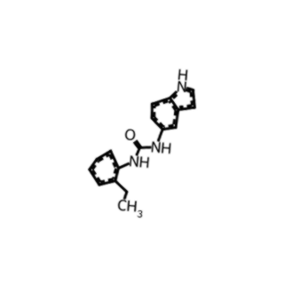 CCc1ccccc1NC(=O)Nc1ccc2[nH]ccc2c1